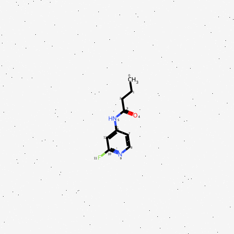 CCCC(=O)Nc1ccnc(F)c1